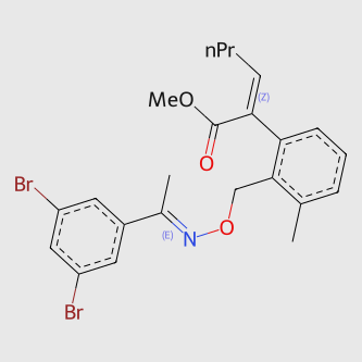 CCC/C=C(\C(=O)OC)c1cccc(C)c1CO/N=C(\C)c1cc(Br)cc(Br)c1